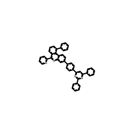 c1ccc(-c2cc(-c3ccc(-c4ccc5c(c4)nc(-c4ccccn4)c4cccc(-c6ccccc6)c45)cc3)nc(-c3ccccc3)n2)cc1